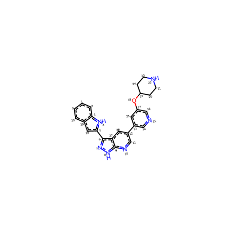 c1ccc2[nH]c(-c3n[nH]c4ncc(-c5cncc(OC6CCNCC6)c5)cc34)cc2c1